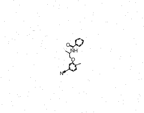 Cc1ccc(C#N)cc1OCC(C)NC(=O)c1ccccc1